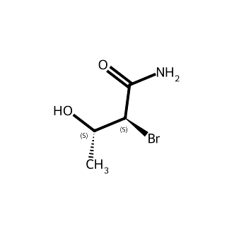 C[C@H](O)[C@H](Br)C(N)=O